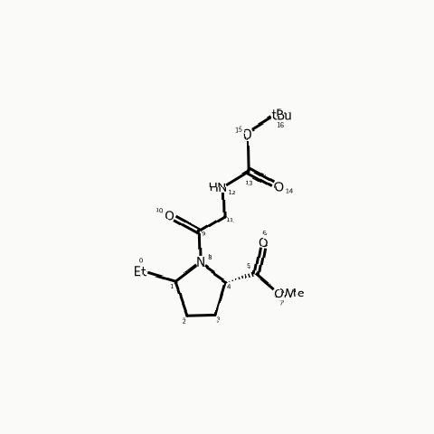 CCC1CC[C@@H](C(=O)OC)N1C(=O)CNC(=O)OC(C)(C)C